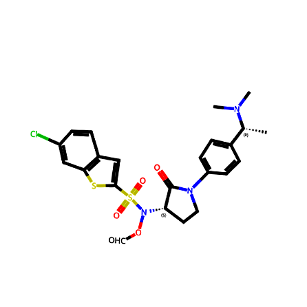 C[C@H](c1ccc(N2CC[C@H](N(OC=O)S(=O)(=O)c3cc4ccc(Cl)cc4s3)C2=O)cc1)N(C)C